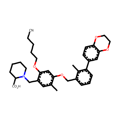 Cc1cc(CN2CCCCC2C(=O)O)c(OCCCCC#N)cc1OCc1cccc(-c2ccc3c(c2)OCCO3)c1C